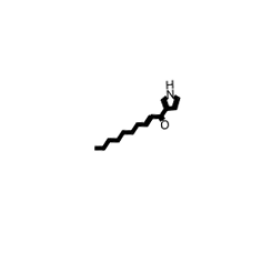 CCCCCCC/C=C/C(=O)c1cc[nH]c1